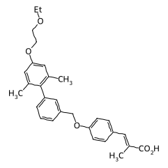 CCOCCOc1cc(C)c(-c2cccc(COc3ccc(C=C(C)C(=O)O)cc3)c2)c(C)c1